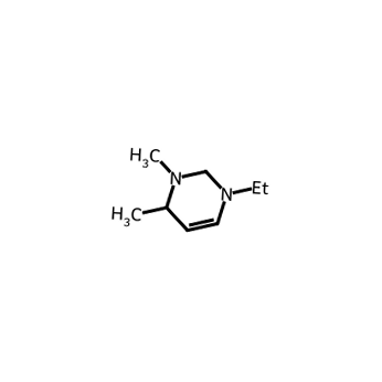 CCN1C=CC(C)N(C)C1